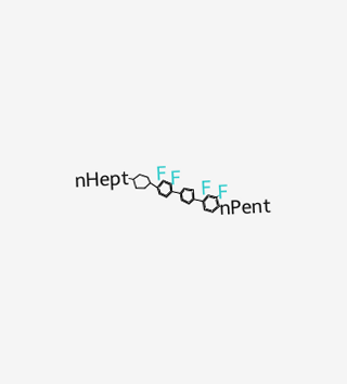 CCCCCCCC1CCC(c2ccc(-c3ccc(-c4ccc(CCCCC)c(F)c4F)cc3)c(F)c2F)CC1